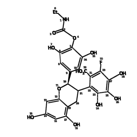 CCNC(=O)Oc1c(O)cc([C@@H]2Oc3cc(O)cc(O)c3CC2c2c(O)c(O)c(O)c(F)c2C(=O)O)cc1O